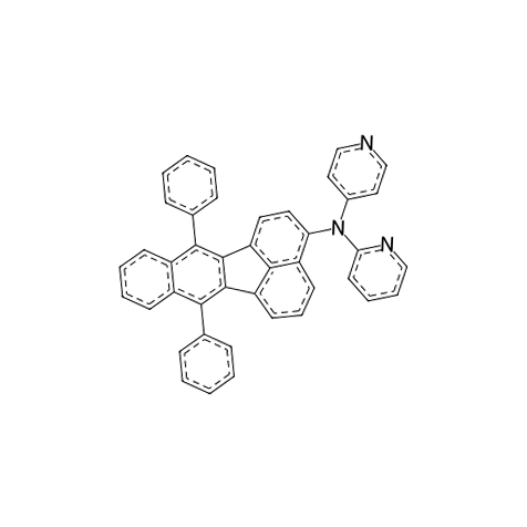 c1ccc(-c2c3c(c(-c4ccccc4)c4ccccc24)-c2ccc(N(c4ccncc4)c4ccccn4)c4cccc-3c24)cc1